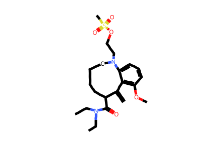 C=C1c2c(OC)cccc2N(CCOS(C)(=O)=O)CCCCC1C(=O)N(CC)CC